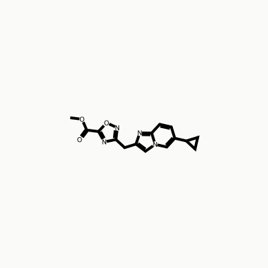 COC(=O)c1nc(Cc2cn3cc(C4CC4)ccc3n2)no1